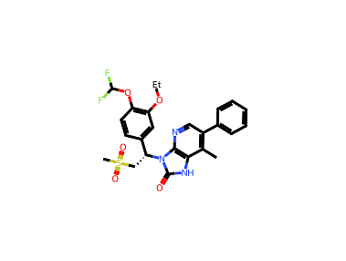 CCOc1cc([C@@H](CS(C)(=O)=O)n2c(=O)[nH]c3c(C)c(-c4ccccc4)cnc32)ccc1OC(F)F